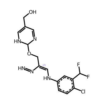 N=N/C(=C\Nc1ccc(Cl)c(C(F)F)c1)COC1N=CC(CO)=CN1